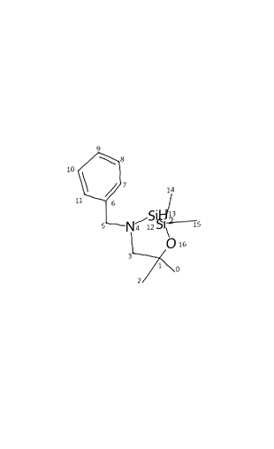 CC1(C)CN(Cc2ccccc2)[SiH2][Si](C)(C)O1